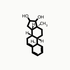 C[C@]12CC[C@H]3[C@H](CC=C4C=CC=C[C@@H]43)[C@@H]1CC(O)C2O